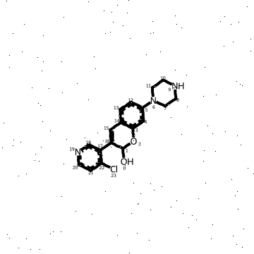 OC1Oc2cc(N3CCNCC3)ccc2C=C1c1cnccc1Cl